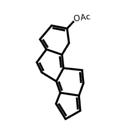 CC(=O)OC1=CC=c2ccc3c4c(ccc3c2C1)=CC=C4